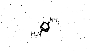 NC1CC2CC1CC2N